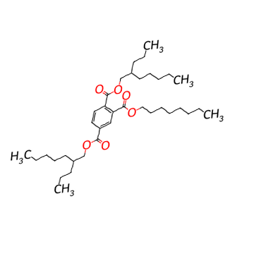 CCCCCCCCOC(=O)c1cc(C(=O)OCC(CCC)CCCCC)ccc1C(=O)OCC(CCC)CCCCC